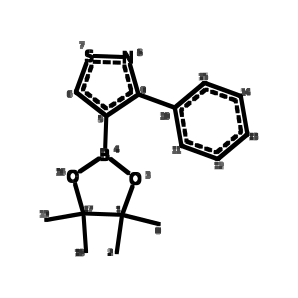 CC1(C)OB(c2csnc2-c2ccccc2)OC1(C)C